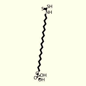 O=P(O)(O)OCCCCCCCCCCCCCCCCCCCCNC(=S)S